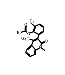 CCC(=O)Oc1c(N)cccc1-c1c(OC)c2ccccc2n(C)c1=O